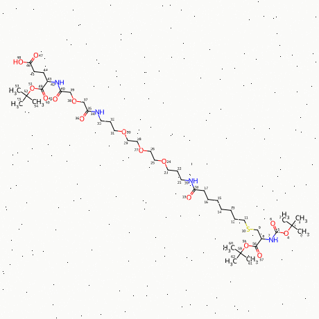 CC(C)(C)OC(=O)NC(CSCCCCCCCC(=O)NCCCOCCOCCOCCCNC(=O)COCC(=O)NC(CCC(=O)O)C(=O)OC(C)(C)C)C(=O)OC(C)(C)C